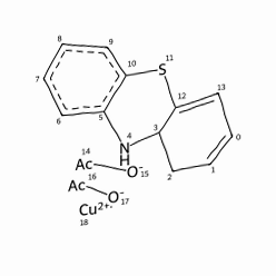 C1=CCC2Nc3ccccc3SC2=C1.CC(=O)[O-].CC(=O)[O-].[Cu+2]